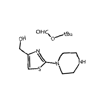 CC(C)(C)OC=O.OCc1csc(N2CCNCC2)n1